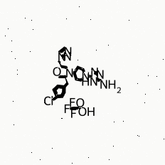 Nc1nnc(N2CCC(N3C[C@H](Cn4ccnn4)OC[C@@H]3Cc3ccc(Cl)cc3)CC2)[nH]1.O=C(O)C(F)(F)F